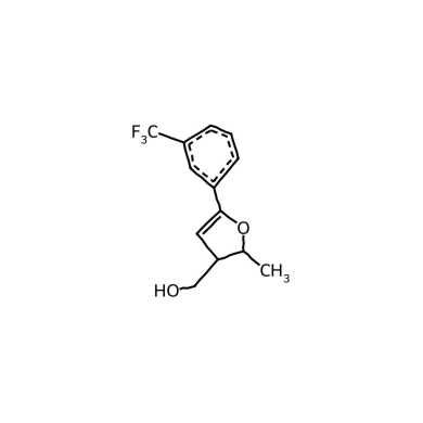 CC1OC(c2cccc(C(F)(F)F)c2)=CC1CO